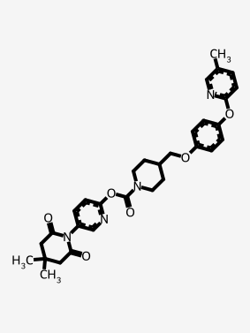 Cc1ccc(Oc2ccc(OCC3CCN(C(=O)Oc4ccc(N5C(=O)CC(C)(C)CC5=O)cn4)CC3)cc2)nc1